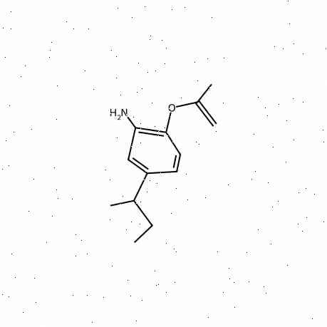 C=C(C)Oc1ccc(C(C)CC)cc1N